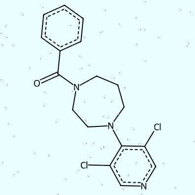 O=C(c1ccccc1)N1CCCN(c2c(Cl)cncc2Cl)CC1